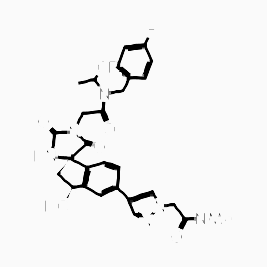 CNC(=O)Cn1cc(-c2ccc3c(c2)[C@@H](O)C[C@]32NC(=O)N(CC(=O)N(Cc3ccc(F)cc3)C(C)C(F)(F)F)C2=O)cn1